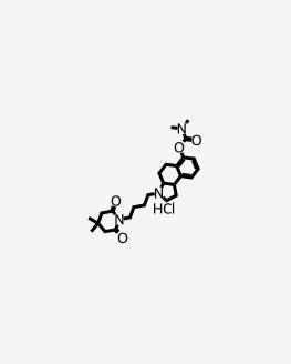 CN(C)C(=O)Oc1cccc2c1CCC1C2CCN1CCCCN1C(=O)CC(C)(C)CC1=O.Cl